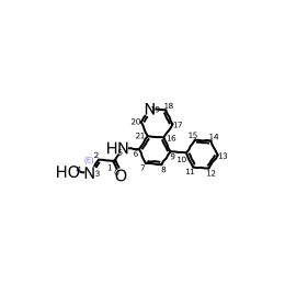 O=C(/C=N/O)Nc1ccc(-c2ccccc2)c2ccncc12